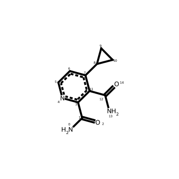 NC(=O)c1nccc(C2CC2)c1C(N)=O